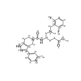 COC(=O)CCC(CN(C)Cc1c(F)cccc1F)NC(=O)N1CCc2[nH]nc(-c3ccnc(C)c3)c2C1